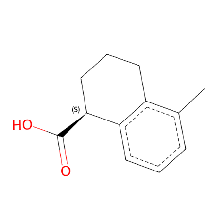 Cc1cccc2c1CCC[C@@H]2C(=O)O